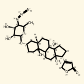 CC1OC(O[C@H]2CCC3(C)C4CCC5(C)[C@@H](C6=CC(=O)OC6)CC[C@]5(O)C4CC[C@H]3C2)[C@@H](O)[C@@H](O)C1N=[N+]=[N-]